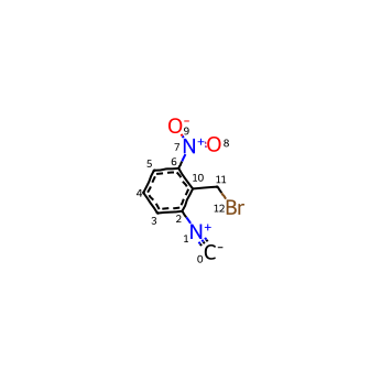 [C-]#[N+]c1cccc([N+](=O)[O-])c1CBr